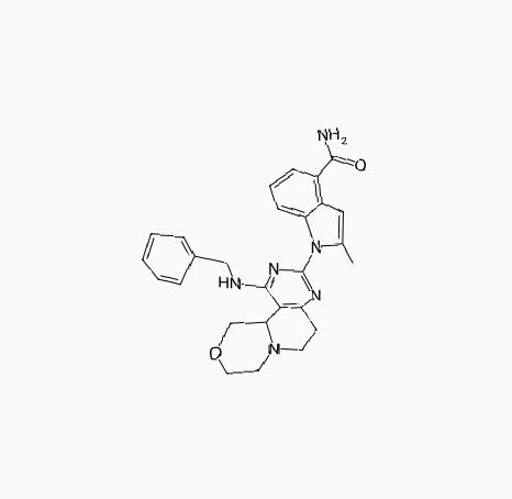 Cc1cc2c(C(N)=O)cccc2n1-c1nc2c(c(NCc3ccccc3)n1)C1COCCN1CC2